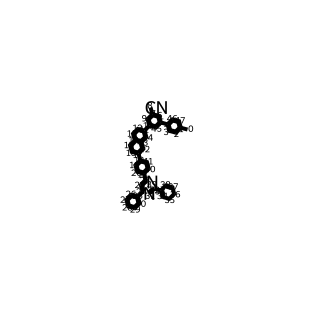 Cc1ccc(-c2cc(C#N)cc(-c3ccc4ccc(-c5ccc(-c6cc(-c7ccccc7)nc(C7=CCCC=C7)n6)cc5)cc4c3)c2)cc1